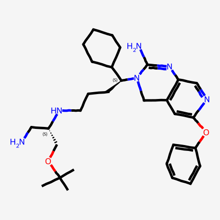 CC(C)(C)OC[C@H](CN)NCCC[C@@H](C1CCCCC1)N1Cc2cc(Oc3ccccc3)ncc2N=C1N